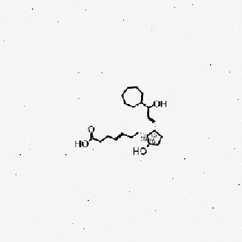 O=C(O)CCC=CCC[C@H]1[C@H](O)CC[C@H]1C=CC(O)C1CCCCCC1